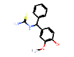 COc1cc(C(NC(N)=S)c2ccccc2)ccc1O